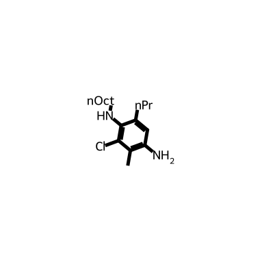 CCCCCCCCNc1c(CCC)cc(N)c(C)c1Cl